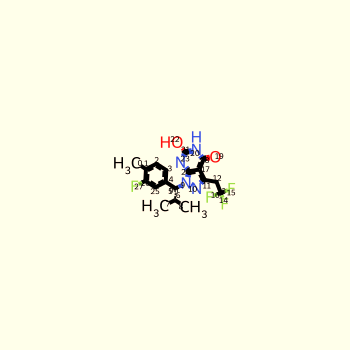 Cc1ccc([C@@H](C(C)C)n2nc(CC(F)(F)F)c3c(=O)[nH]c(O)nc32)cc1F